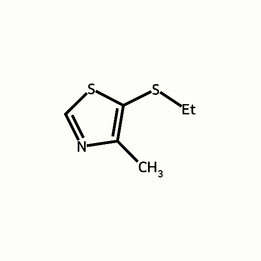 CCSc1scnc1C